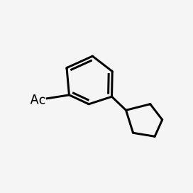 CC(=O)c1cccc(C2CCCC2)c1